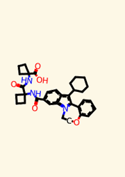 O=C(NC1(C(=O)NC2(C(=O)O)CCC2)CCC1)c1ccc2c(C3CCCCC3)c3n(c2c1)CCOc1ccccc1-3